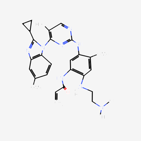 C=CC(=O)Nc1cc(Nc2ncc(C)c(-n3c(C4CC4)nc4cc(OC)ccc43)n2)c(OC)cc1N(C)CCN(C)C